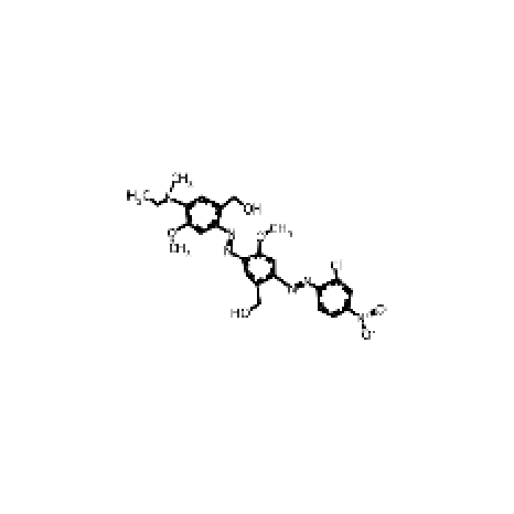 CCN(C)c1cc(CO)c(N=Nc2cc(CO)c(N=Nc3ccc([N+](=O)[O-])cc3Cl)cc2OC)cc1OC